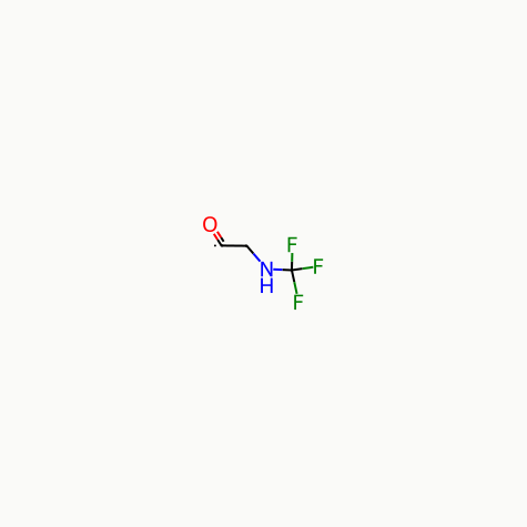 O=[C]CNC(F)(F)F